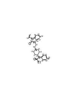 C=C(C)n1c(=O)n(CCN2CCC(N(C(=O)CC)c3ccc(C)cc3)CC2)c2ccccc21